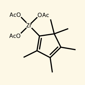 CC(=O)[O][Zr]([O]C(C)=O)([O]C(C)=O)[C]1=C(C)C(C)=C(C)C1(C)C